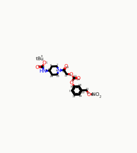 CC(C)(C)OC(=O)NC1CCN(C(=O)COC(=O)Oc2cccc(CO[N+](=O)[O-])c2)CC1